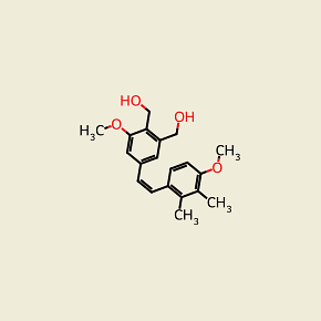 COc1ccc(/C=C\c2cc(CO)c(CO)c(OC)c2)c(C)c1C